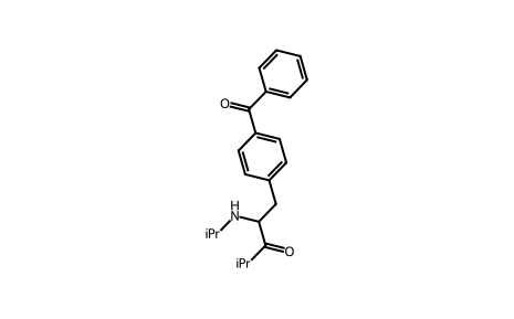 CC(C)NC(Cc1ccc(C(=O)c2ccccc2)cc1)C(=O)C(C)C